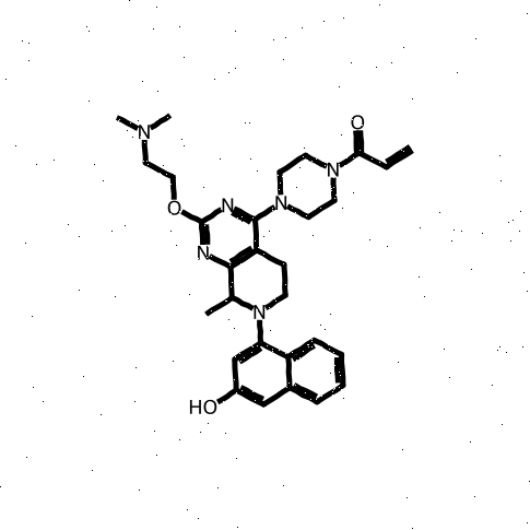 C=CC(=O)N1CCN(c2nc(OCCN(C)C)nc3c2CCN(c2cc(O)cc4ccccc24)C3C)CC1